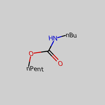 CCCCCOC(=O)NCCCC